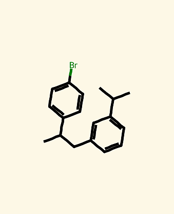 CC(C)c1cccc(CC(C)c2ccc(Br)cc2)c1